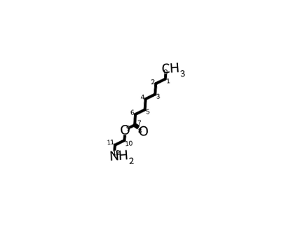 CCCCCCCC(=O)OCCN